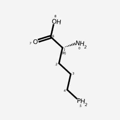 N[C@H](CCCP)C(=O)O